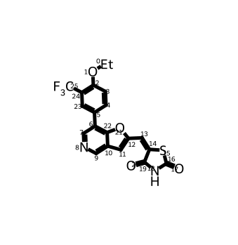 CCOc1ccc(-c2cncc3cc(/C=C4/SC(=O)NC4=O)oc23)cc1C(F)(F)F